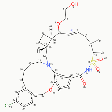 CC1C/C=C/C(OCCO)[C@@H]2CC[C@H]2CN2CCCCc3cc(Cl)ccc3COc3ccc(cc32)C(=O)NS(=O)(=O)C1C